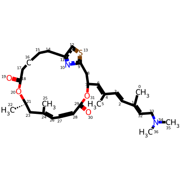 CC(/C=C/C(C)=C/C1Cc2nc(cs2)CCCCC(=O)O[C@@H](C)C/C(C)=C/C=C\C(=O)O1)=C\CN(C)C